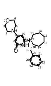 O=c1cc(N2CCOCC2)cc(N2CCCCC[C@@H]2Cc2ccccc2)[nH]1